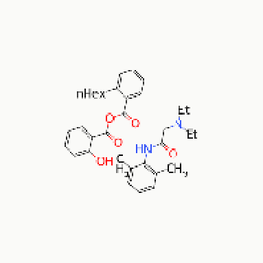 CCCCCCc1ccccc1C(=O)OC(=O)c1ccccc1O.CCN(CC)CC(=O)Nc1c(C)cccc1C